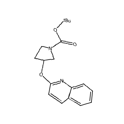 CC(C)(C)OC(=O)N1CCC(Oc2ccc3ccccc3n2)C1